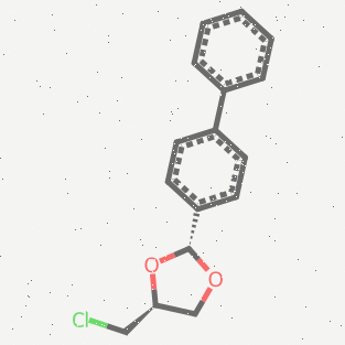 ClC[C@@H]1CO[C@@H](c2ccc(-c3ccccc3)cc2)O1